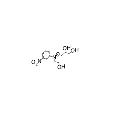 O=[N+]([O-])c1cccc(N(CCO)OCC(O)CO)c1